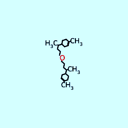 CC1=CCC(C(C)CCCOCCCC(C)C2CC=C(C)CC2)CC1